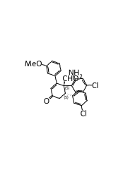 COc1cccc(C2=CC(=O)C[C@@H](c3cccc(Cl)c3)[C@@]2(C=O)c2ccc(Cl)cc2N)c1